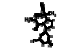 C[C@@H](N)C(=O)N1[C@H](c2cc(F)cc(F)c2)CC[C@@H]1C(C)(C)C#N